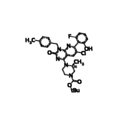 Cc1ccc(Cn2c(=O)nc(N3CCN(C(=O)OC(C)(C)C)C[C@@H]3C)c3cc(Cl)c(-c4c(O)cccc4F)nc32)cc1